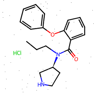 CCCN(C(=O)c1ccccc1Oc1ccccc1)[C@H]1CCNC1.Cl